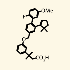 COc1ccc(F)c(-c2ccc(COc3cccc(C(C)(C)CC(=O)O)c3)cc2C2=CCCC2(C)C)c1